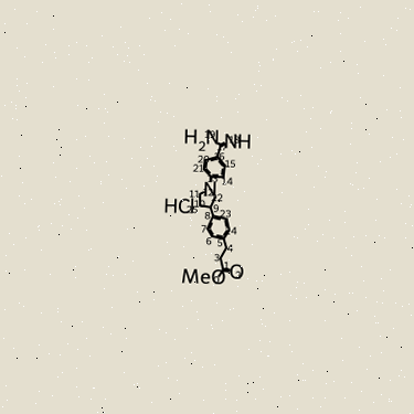 COC(=O)CCc1ccc(C2CCN(c3ccc(C(=N)N)cc3)C2)cc1.Cl